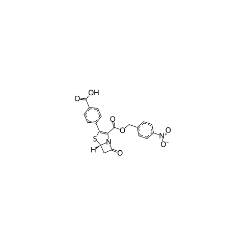 O=C(OCc1ccc([N+](=O)[O-])cc1)C1=C(c2ccc(C(=O)O)cc2)S[C@H]2CC(=O)N12